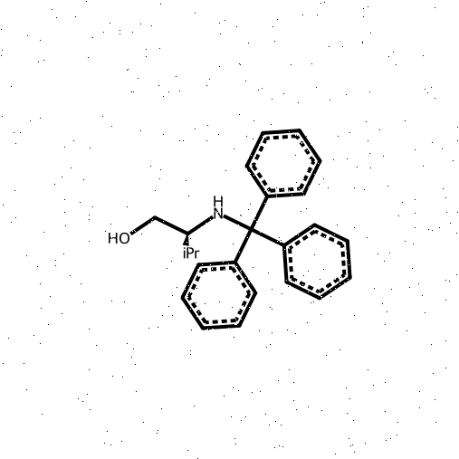 CC(C)[C@@H](CO)NC(c1ccccc1)(c1ccccc1)c1ccccc1